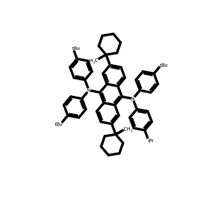 CC(C)c1ccc(N(c2ccc(C(C)(C)C)cc2)c2c3ccc(C4(C)CCCCC4)cc3c(N(c3ccc(C(C)(C)C)cc3)c3ccc(C(C)(C)C)cc3)c3ccc(C4(C)CCCCC4)cc23)cc1